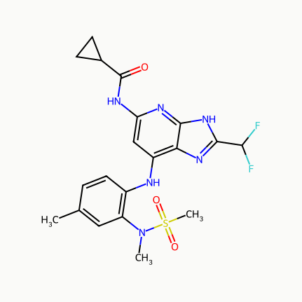 Cc1ccc(Nc2cc(NC(=O)C3CC3)nc3[nH]c(C(F)F)nc23)c(N(C)S(C)(=O)=O)c1